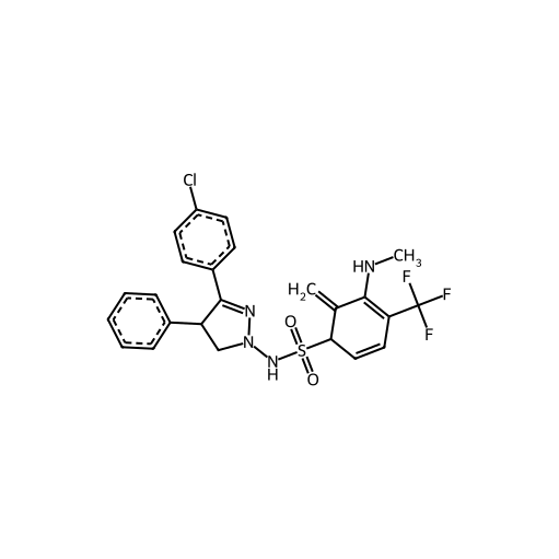 C=C1C(NC)=C(C(F)(F)F)C=CC1S(=O)(=O)NN1CC(c2ccccc2)C(c2ccc(Cl)cc2)=N1